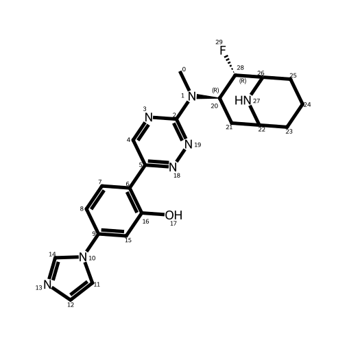 CN(c1ncc(-c2ccc(-n3ccnc3)cc2O)nn1)[C@@H]1CC2CCCC(N2)[C@H]1F